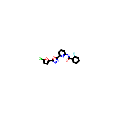 O=C(Nc1cccc(-c2nnc(-c3ccc(Cl)o3)o2)n1)c1ccccc1F